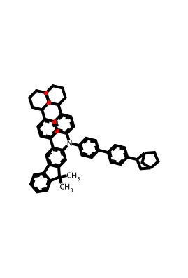 CC1(C)c2ccccc2-c2cc(-c3ccc(C4CCCCC4)cc3)c(N(c3ccc(-c4ccc(C5CC6CCC5C6)cc4)cc3)c3ccc(C4CCCCC4)cc3)cc21